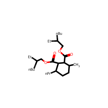 CCCCC(CC)COC(=O)C1C(C)CCC(CCC)C1C(=O)OCC(CC)CCCC